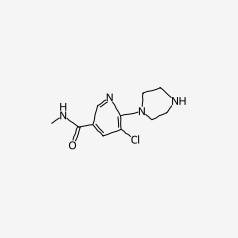 CNC(=O)c1cnc(N2CCNCC2)c(Cl)c1